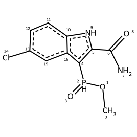 CO[PH](=O)c1c(C(N)=O)[nH]c2ccc(Cl)cc12